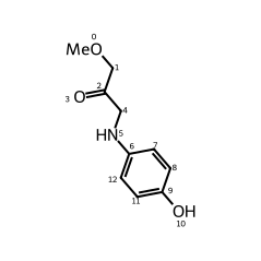 COCC(=O)CNc1ccc(O)cc1